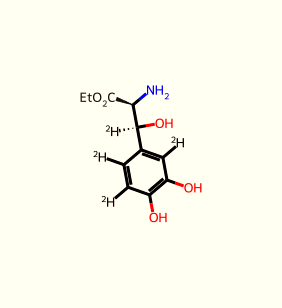 [2H]c1c([2H])c([C@]([2H])(O)[C@H](N)C(=O)OCC)c([2H])c(O)c1O